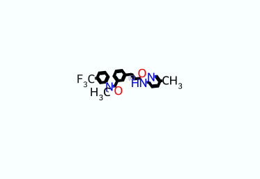 Cc1ccc(NC(=O)/C=C/c2cccc(C(=O)N(C)c3cccc(C(F)(F)F)c3)c2)nc1